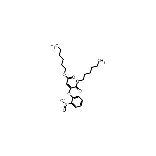 CCCCCCOC(=O)/C=C(/Oc1ccccc1[N+](=O)[O-])C(=O)OCCCCCC